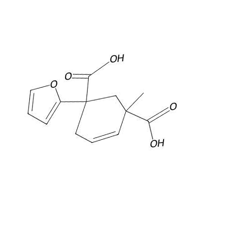 CC1(C(=O)O)C=CCC(C(=O)O)(c2ccco2)C1